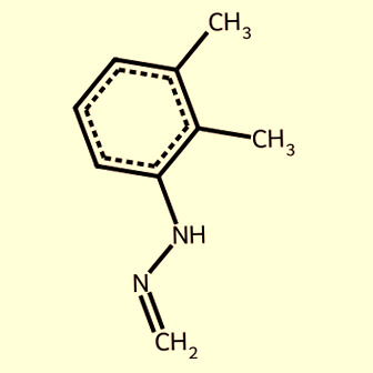 C=NNc1cccc(C)c1C